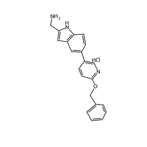 Cl.NCc1cc2cc(-c3ccc(OCc4ccccc4)nc3)ccc2[nH]1